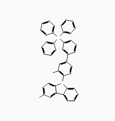 N#Cc1ccc2c(c1)c1ccccc1n2-c1ccc(-c2cccc([Si](c3ccccc3)(c3ccccc3)c3ccccc3)c2)cc1C#N